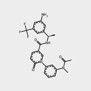 CC(=O)N(C)c1cccc(-n2cc(C(=O)N[C@H](C)c3cc(N)cc(C(F)(F)F)c3)ccc2=O)c1